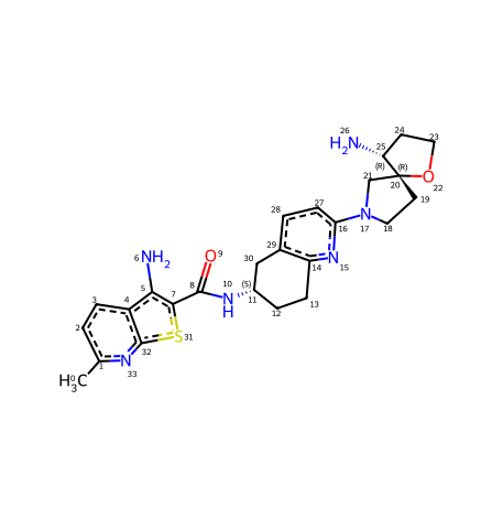 Cc1ccc2c(N)c(C(=O)N[C@H]3CCc4nc(N5CC[C@]6(C5)OCC[C@H]6N)ccc4C3)sc2n1